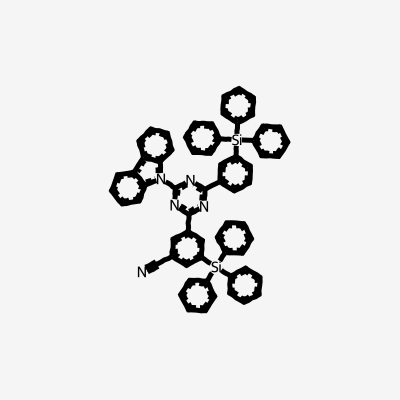 N#Cc1cc(-c2nc(-c3cccc([Si](c4ccccc4)(c4ccccc4)c4ccccc4)c3)nc(-n3c4ccccc4c4ccccc43)n2)cc([Si](c2ccccc2)(c2ccccc2)c2ccccc2)c1